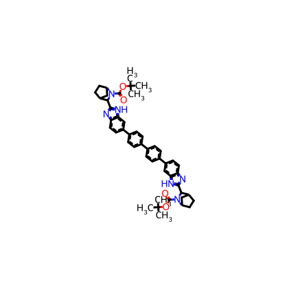 CC(C)(C)OC(=O)N1C2CCC(C2)C1c1nc2ccc(-c3ccc(-c4ccc(-c5ccc6nc(C7C8CCC(C8)N7C(=O)OC(C)(C)C)[nH]c6c5)cc4)cc3)cc2[nH]1